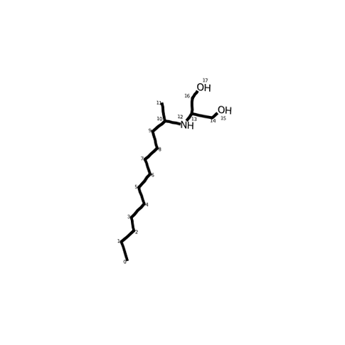 CCCCCCCCCCC(C)NC(CO)CO